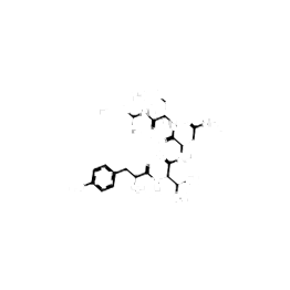 CC(C)[C@H](NC(=O)[C@H](CC(=O)O)NC(=O)[C@H](CC(N)=O)NC(=O)[C@@H](NC(=O)[C@@H](N)Cc1ccc(O)cc1)[C@@H](C)O)C(=O)O